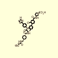 CC(C)(C)OC(=O)NC[C@H]1CC[C@H](C(=O)N[C@@H](Cc2ccc(-c3ccc(C(=O)N[C@H]4CCN(C(=O)O)C4)cc3Cl)cc2)C(=O)Nc2ccc(-c3nn[nH]n3)cc2)CC1